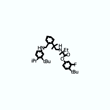 CC[C@](C)(NCC(C)(C)c1ccccc1CNc1ccc(C(C)C)c(C(C)(C)C)c1)C(=O)Oc1ccc(C(C)(C)C)c(F)c1